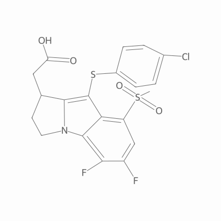 CS(=O)(=O)c1cc(F)c(F)c2c1c(Sc1ccc(Cl)cc1)c1n2CCC1CC(=O)O